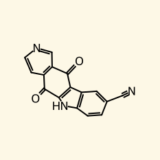 N#Cc1ccc2[nH]c3c(c2c1)C(=O)c1cnccc1C3=O